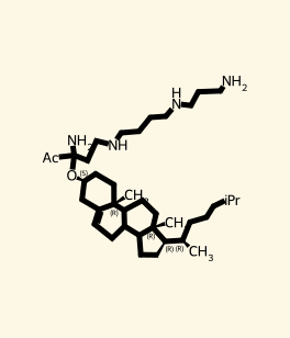 CC(=O)C(N)(CCNCCCCNCCCN)O[C@H]1CC[C@@]2(C)C(=CCC3C2CC[C@@]2(C)C3CC[C@@H]2[C@H](C)CCCC(C)C)C1